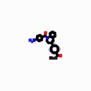 COC(=O)C1=C/C=C\C(C2=Cc3ccccc3N(C(=O)c3ccc(N)cc3)CC2)=C/C=C\1